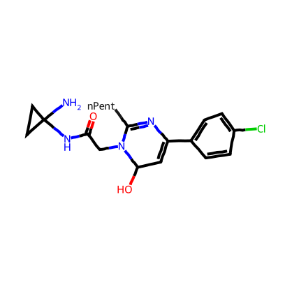 CCCCCC1=NC(c2ccc(Cl)cc2)=CC(O)N1CC(=O)NC1(N)CC1